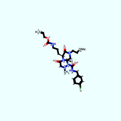 C=CCOC(=O)NCCC[C@H]1C(=O)N(CCOC)C[C@H]2N1C(=O)CN(C)N2C(=O)NCc1ccc(F)cc1